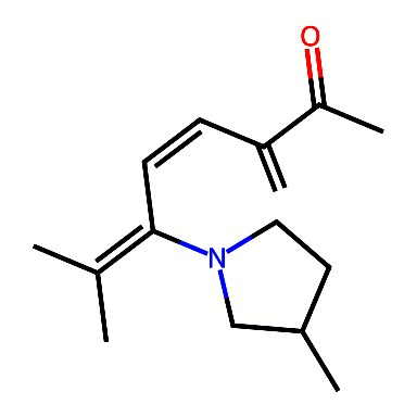 C=C(/C=C\C(=C(C)C)N1CCC(C)C1)C(C)=O